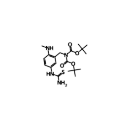 CNc1ccc(NC(N)=S)cc1CN(C(=O)OC(C)(C)C)C(=O)OC(C)(C)C